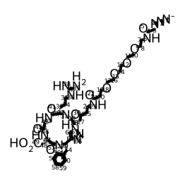 [N-]=[N+]=NCC(=O)NCCOCCOCCOCCOCCC(=O)NCCCC[C@H]1C(=O)N[C@@H](CCCNC(=N)N)C(=O)NCC(=O)N[C@@H](CC(=O)O)C(=O)N[C@@H](Cc2ccccc2)c2cn1nn2